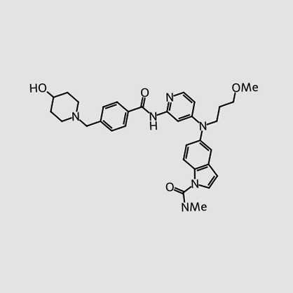 CNC(=O)n1ccc2cc(N(CCCOC)c3ccnc(NC(=O)c4ccc(CN5CCC(O)CC5)cc4)c3)ccc21